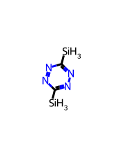 [SiH3]c1nnc([SiH3])nn1